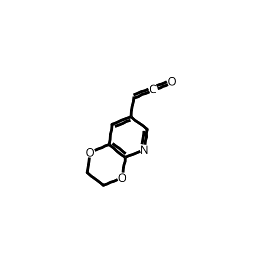 O=C=Cc1cnc2c(c1)OCCO2